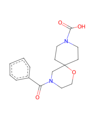 O=C(O)N1CCC2(CC1)CN(C(=O)c1ccccc1)CCO2